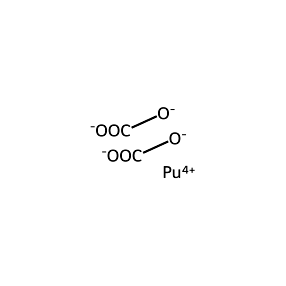 O=C([O-])[O-].O=C([O-])[O-].[Pu+4]